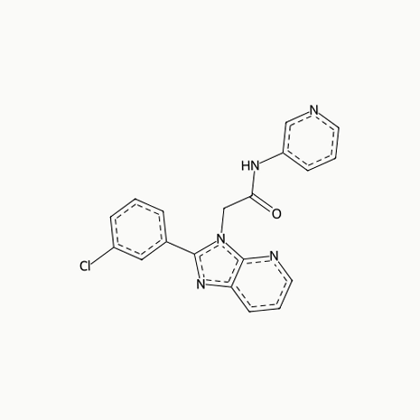 O=C(Cn1c(-c2cccc(Cl)c2)nc2cccnc21)Nc1cccnc1